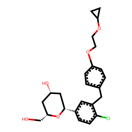 OC[C@@H]1C[C@H](O)C[C@H](c2ccc(Cl)c(Cc3ccc(OCCOC4CC4)cc3)c2)O1